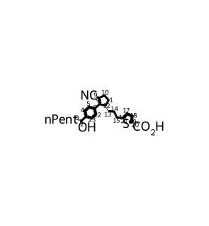 CCCCC[C@@H](O)c1ccc(C2=C(C#N)CC[C@@H]2CCCc2ccc(C(=O)O)s2)cc1